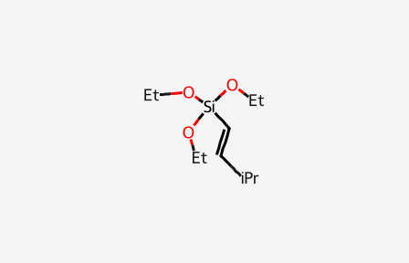 CCO[Si](C=CC(C)C)(OCC)OCC